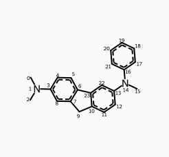 CN(C)c1ccc2c(c1)Cc1ccc(N(C)c3ccccc3)cc1-2